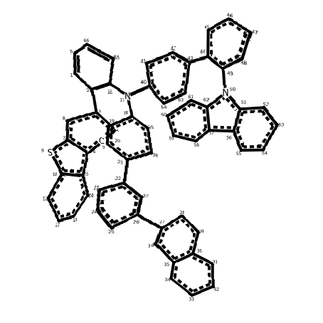 C1=CC(c2ccc3c(c2)sc2ccccc23)C(N(c2ccc(-c3cccc(-c4ccc5ccccc5c4)c3)cc2)c2ccc(-c3ccccc3-n3c4ccccc4c4ccccc43)cc2)C=C1